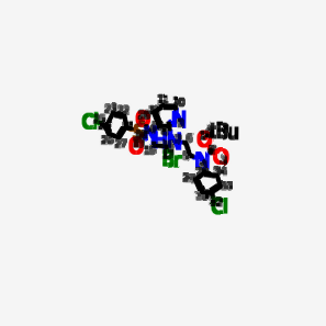 CC(C)(C)OC(=O)N(CCNc1ncccc1N(CCBr)S(=O)(=O)c1ccc(Cl)cc1)c1ccc(Cl)cc1